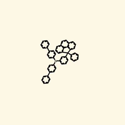 c1ccc(-c2ccc(N(c3ccc(-c4ccccc4)cc3)c3cccc(C4(c5ccccc5)c5cccc6ccc7cccc4c7c56)c3)cc2)cc1